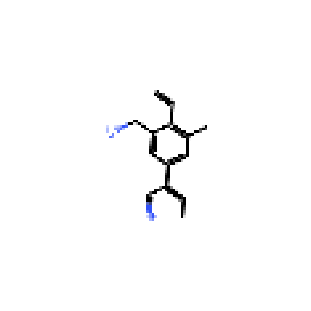 C=Cc1c(C)cc(/C(C=N)=C/C)cc1CN